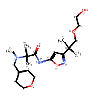 CN(CC1CCOCC1)C(C)(C)C(=O)Nc1cc(C(C)(C)COCCO)no1